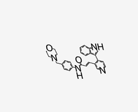 O=C(C=Cc1cnccc1-c1c[nH]c2ccccc12)Nc1ccc(CN2CCOCC2)cc1